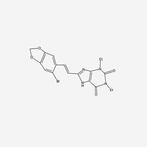 CCn1c(=O)c2[nH]c(/C=C/c3cc4c(cc3Br)OCO4)nc2n(CC)c1=O